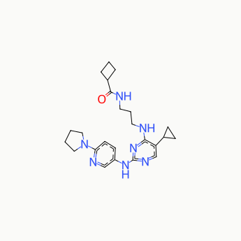 O=C(NCCCNc1nc(Nc2ccc(N3CCCC3)nc2)ncc1C1CC1)C1CCC1